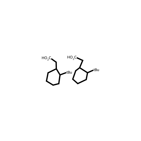 CC(C)(C)C1CCCCC1CC(=O)O.CC(C)(C)C1CCCCC1CC(=O)O